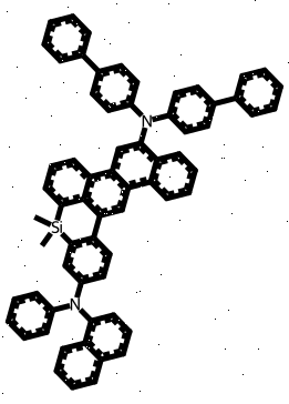 C[Si]1(C)c2cc(N(c3ccccc3)c3cccc4ccccc34)ccc2-c2cc3c4ccccc4c(N(c4ccc(-c5ccccc5)cc4)c4ccc(-c5ccccc5)cc4)cc3c3cccc1c23